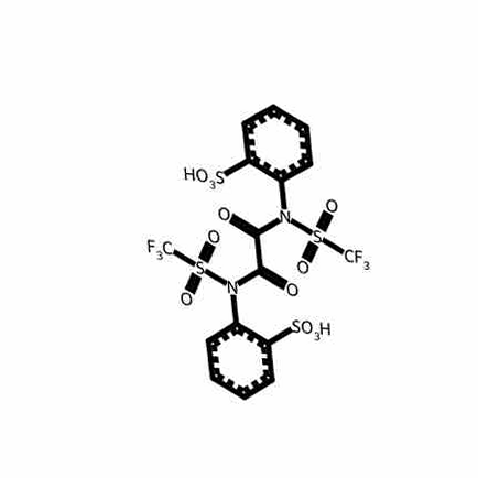 O=C(C(=O)N(c1ccccc1S(=O)(=O)O)S(=O)(=O)C(F)(F)F)N(c1ccccc1S(=O)(=O)O)S(=O)(=O)C(F)(F)F